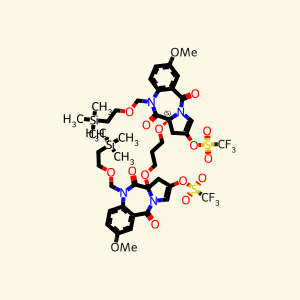 COc1ccc2c(c1)C(=O)N1C=C(OS(=O)(=O)C(F)(F)F)CC1(OCCCO[C@]13CC(OS(=O)(=O)C(F)(F)F)=CN1C(=O)c1cc(OC)ccc1N(COCC[Si](C)(C)C)C3=O)C(=O)N2COCC[Si](C)(C)C